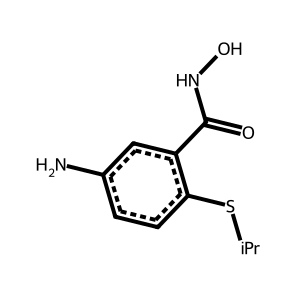 CC(C)Sc1ccc(N)cc1C(=O)NO